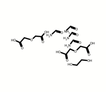 NC=O.NC=O.NC=O.NC=O.O=C(O)COCC(=O)O.O=C(O)COCC(=O)O.OCCO